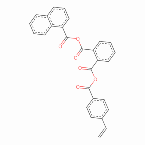 C=Cc1ccc(C(=O)OC(=O)c2ccccc2C(=O)OC(=O)c2cccc3ccccc23)cc1